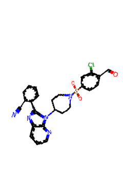 N#Cc1ccccc1-c1nc2cccnc2n1C1CCN(S(=O)(=O)c2ccc(C=O)c(Cl)c2)CC1